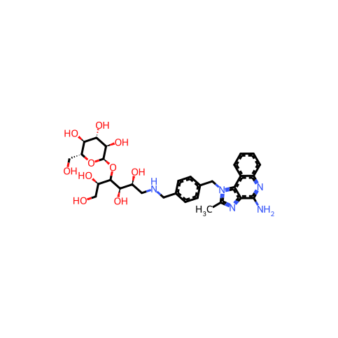 Cc1nc2c(N)nc3ccccc3c2n1Cc1ccc(CNC[C@H](O)[C@@H](O)C(O[C@H]2O[C@H](CO)[C@@H](O)[C@H](O)[C@H]2O)[C@H](O)CO)cc1